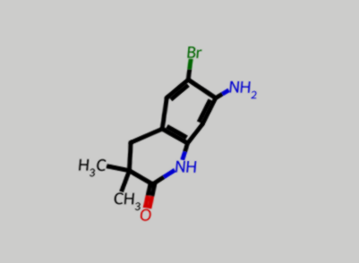 CC1(C)Cc2cc(Br)c(N)cc2NC1=O